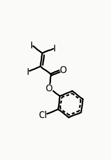 O=C(Oc1ccccc1Cl)C(I)=C(I)I